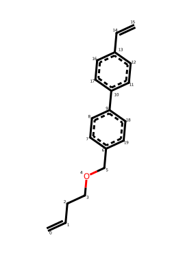 C=CCCOCc1ccc(-c2ccc(C=C)cc2)cc1